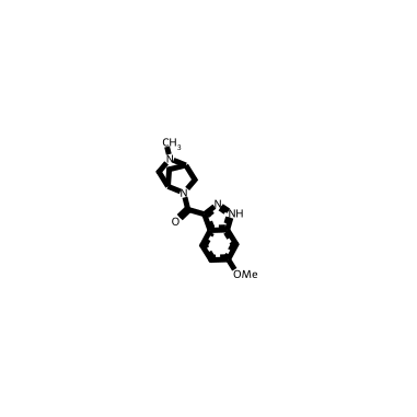 COc1ccc2c(C(=O)N3CC4CC3CN4C)n[nH]c2c1